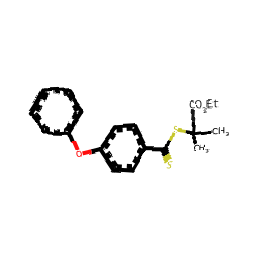 CCOC(=O)C(C)(C)SC(=S)c1ccc(Oc2ccccc2)cc1